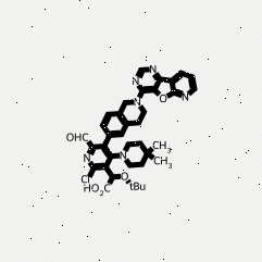 CC1(C)CCN(c2c(-c3ccc4c(c3)CCN(c3ncnc5c3oc3ncccc35)C4)c(C=O)nc(Cl)c2C(OC(C)(C)C)C(=O)O)CC1